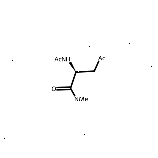 CNC(=O)[C@H](CC(C)=O)NC(C)=O